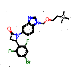 C[Si](C)(C)CCOCn1cnc2cc(N3C(=O)CC3c3c(F)cc(Br)cc3F)ccc21